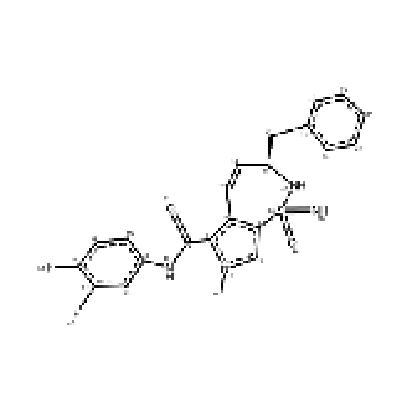 Cn1cc2c(c1C(=O)Nc1ccc(F)c(F)c1)C=C[C@@H](Cc1ccccc1)NS2(=N)=O